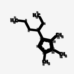 CCCC(CC)c1cc(C)n(C)c1C